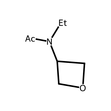 CCN(C(C)=O)C1COC1